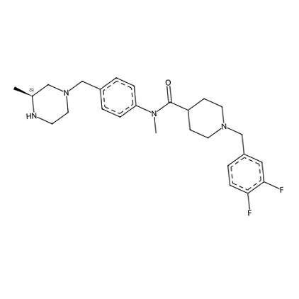 C[C@H]1CN(Cc2ccc(N(C)C(=O)C3CCN(Cc4ccc(F)c(F)c4)CC3)cc2)CCN1